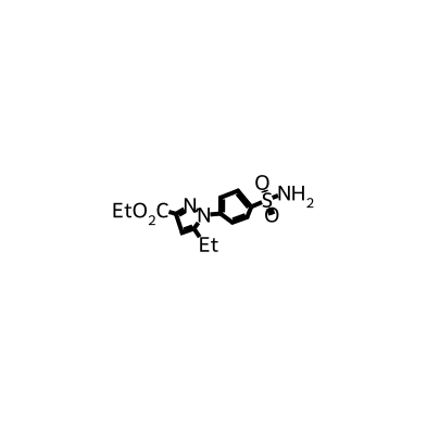 CCOC(=O)c1cc(CC)n(-c2ccc(S(N)(=O)=O)cc2)n1